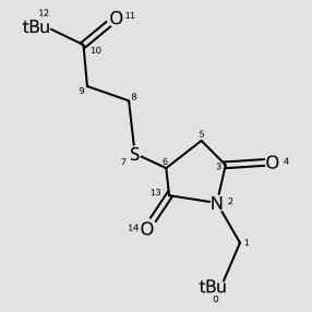 CC(C)(C)CN1C(=O)CC(SCCC(=O)C(C)(C)C)C1=O